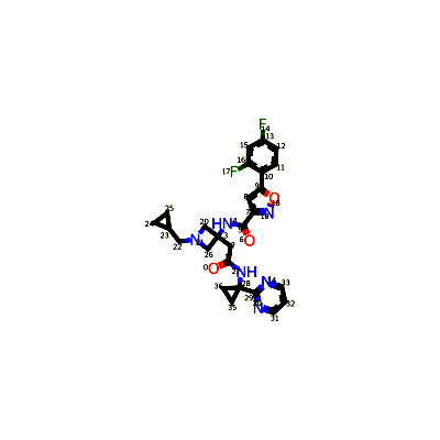 O=C(CC1(NC(=O)c2cc(-c3ccc(F)cc3F)on2)CN(CC2CC2)C1)NC1(c2ncccn2)CC1